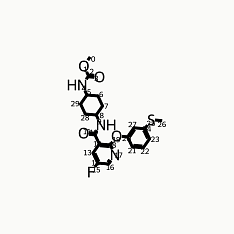 COC(=O)NC1CCC(NC(=O)c2cc(F)cnc2Oc2cccc(SC)c2)CC1